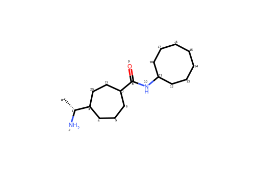 C[C@@H](N)C1CCCC(C(=O)NC2CCCCCCC2)CC1